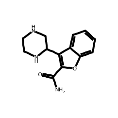 NC(=O)c1oc2ccccc2c1C1CNCCN1